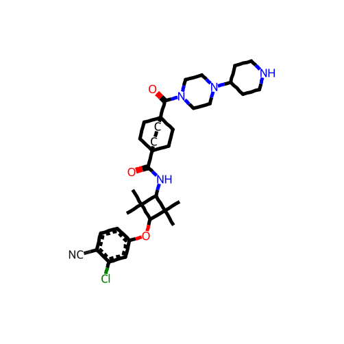 CC1(C)C(NC(=O)C23CCC(C(=O)N4CCN(C5CCNCC5)CC4)(CC2)CC3)C(C)(C)C1Oc1ccc(C#N)c(Cl)c1